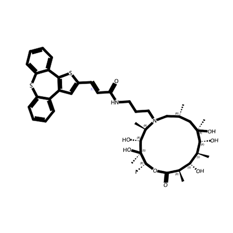 C[C@H]1CN(CCCNC(=O)/C=C/c2cc3c(s2)-c2ccccc2Sc2ccccc2-3)[C@H](C)[C@@H](O)[C@](C)(O)[C@@H](I)OC(=O)[C@H](C)[C@@H](O)[C@H](C)[C@@H](O)[C@](C)(O)C1